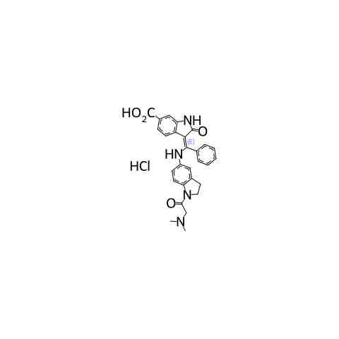 CN(C)CC(=O)N1CCc2cc(N/C(=C3/C(=O)Nc4cc(C(=O)O)ccc43)c3ccccc3)ccc21.Cl